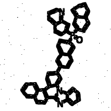 O=P(c1ccc2ccccc2c1)(c1ccc2cc(-c3ccc4c5c6ccccc6ccc5c5nc6ccccc6n5c4c3)ccc2c1)c1ccc2cccnc2c1